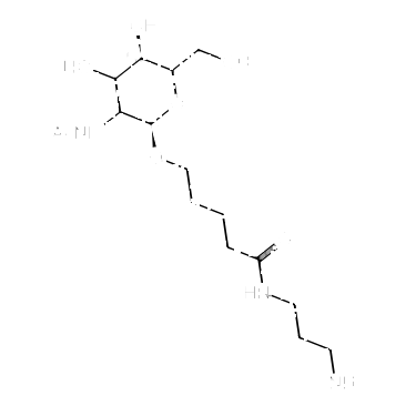 CC(=O)NC1C(O)[C@@H](O)C(CO)O[C@H]1OCCCCC(=O)NCCCN